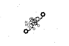 CC1(C)[C@H](C(=O)OCc2ccccc2)N2C(=O)C[C@H]2[S@@]1(CO)C(=O)N1CCN(Cc2ccccc2)CC1